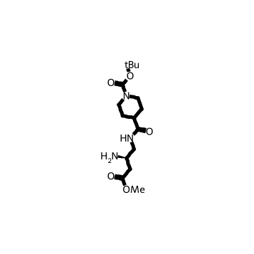 COC(=O)C[C@@H](N)CNC(=O)C1CCN(C(=O)OC(C)(C)C)CC1